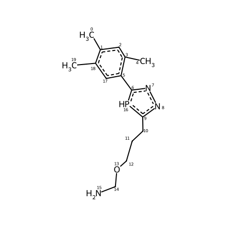 Cc1cc(C)c(-c2nnc(CCCOCN)[pH]2)cc1C